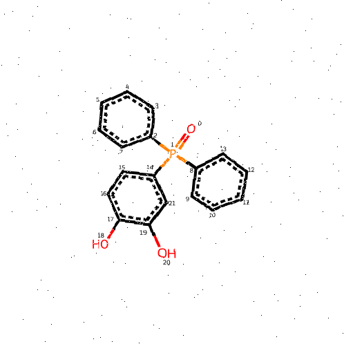 O=P(c1ccccc1)(c1ccccc1)c1ccc(O)c(O)c1